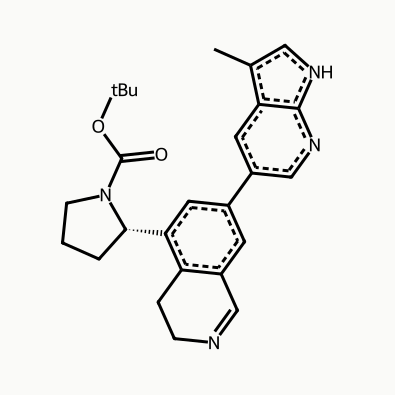 Cc1c[nH]c2ncc(-c3cc4c(c([C@@H]5CCCN5C(=O)OC(C)(C)C)c3)CCN=C4)cc12